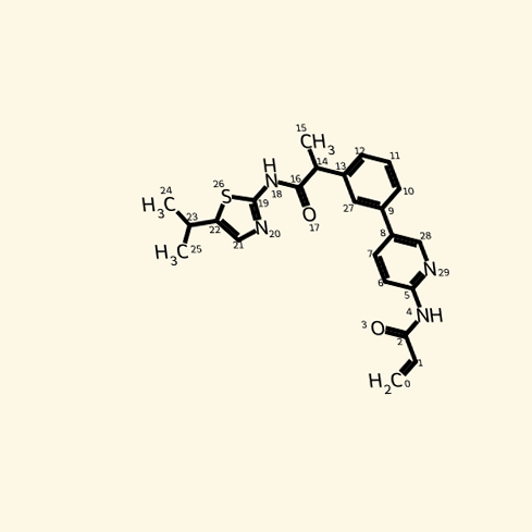 C=CC(=O)Nc1ccc(-c2cccc(C(C)C(=O)Nc3ncc(C(C)C)s3)c2)cn1